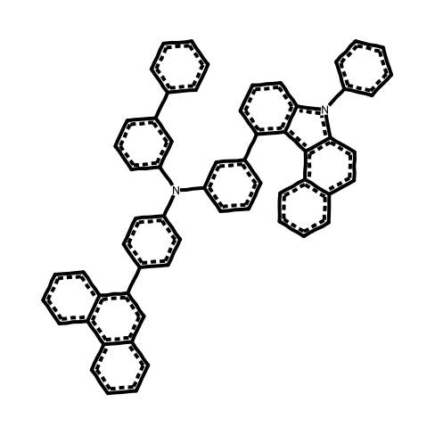 c1ccc(-c2cccc(N(c3ccc(-c4cc5ccccc5c5ccccc45)cc3)c3cccc(-c4cccc5c4c4c6ccccc6ccc4n5-c4ccccc4)c3)c2)cc1